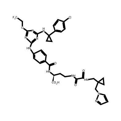 O=C(NCC[C@H](NC(=O)c1ccc(Nc2nc(NC3(c4ccc(Cl)cc4)CC3)nc(OCC(F)(F)F)n2)cc1)C(=O)O)C(=O)NCC1(Cn2cccn2)CC1